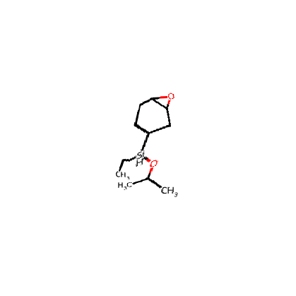 CC[SiH](OC(C)C)C1CCC2OC2C1